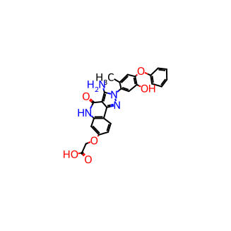 Cc1cc(Oc2ccccc2)c(O)cc1-n1nc2c(c1N)c(=O)[nH]c1cc(OCC(=O)O)ccc12